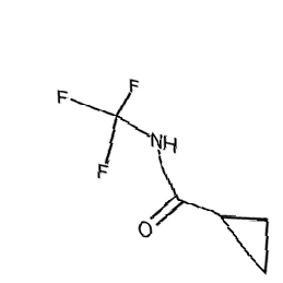 O=C(NC(F)(F)F)C1CC1